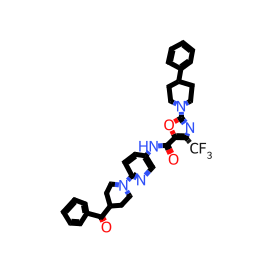 O=C(Nc1ccc(N2CCC(C(=O)c3ccccc3)CC2)nc1)c1oc(N2CCC(c3ccccc3)CC2)nc1C(F)(F)F